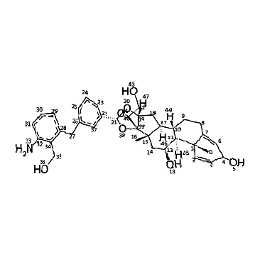 C[C@]12C=CC(O)C=C1CC[C@@H]1[C@@H]2[C@@H](O)C[C@@]2(C)[C@H]1C[C@H]1O[C@@H](c3cccc(Cc4cccc(N)c4CO)c3)O[C@]12C(=O)CO